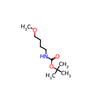 COCCCCNC(=O)OC(C)(C)C